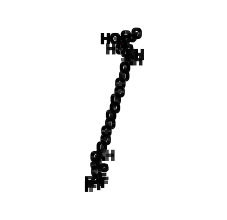 O=C(CN1CCCC(OCc2cc(C(F)(F)F)cc(C(F)(F)F)c2)[C@@H]1c1ccccc1)NCCOCCOCCOCCOCCOCCOCCOCCOCCOCCOCCOCCNC(=S)Nc1ccc(-c2c3ccc(=O)cc-3oc3cc(O)ccc23)c(C(=O)O)c1